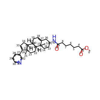 COC(=O)CCCCCC(=O)N[C@@H]1CC[C@@]2(C)C(=CC[C@@H]3[C@@H]2CC[C@]2(C)C(c4cccnc4)=CC[C@@H]32)C1